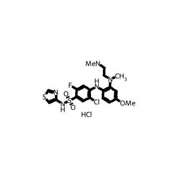 CNCCN(C)c1cc(OC)ccc1Nc1cc(F)c(S(=O)(=O)Nc2cscn2)cc1Cl.Cl